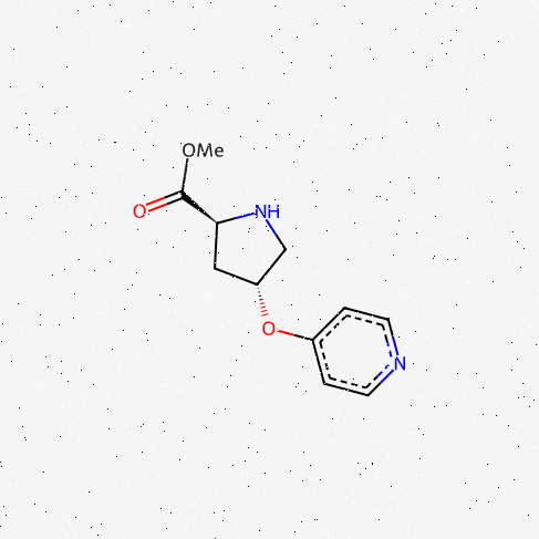 COC(=O)[C@@H]1C[C@@H](Oc2ccncc2)CN1